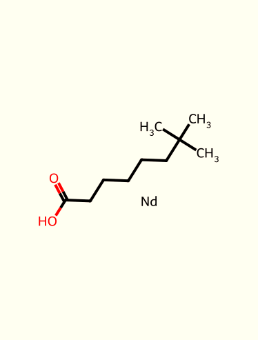 CC(C)(C)CCCCCC(=O)O.[Nd]